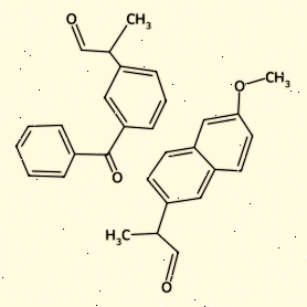 CC(C=O)c1cccc(C(=O)c2ccccc2)c1.COc1ccc2cc(C(C)C=O)ccc2c1